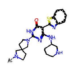 CC(=O)N1CCC2(CCN(c3nc(NC4CCCNC4)c(-c4nc5ccccc5s4)c(=O)[nH]3)C2)C1